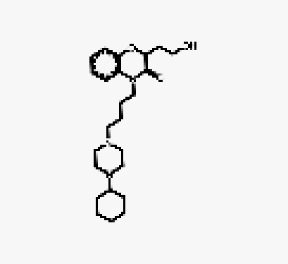 O=C1C(CCO)Oc2ccccc2N1CCCCN1CCN(C2CCCCC2)CC1